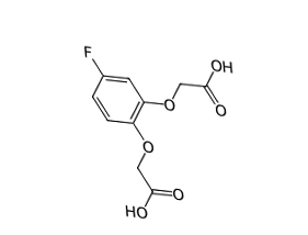 O=C(O)COc1ccc(F)cc1OCC(=O)O